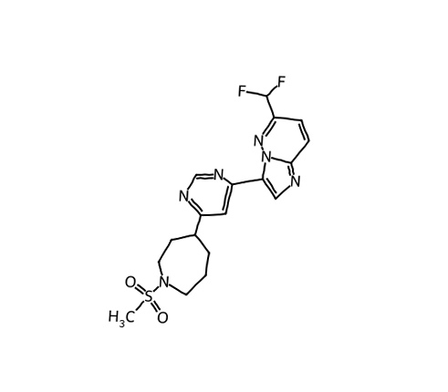 CS(=O)(=O)N1CCCC(c2cc(-c3cnc4ccc(C(F)F)nn34)ncn2)CC1